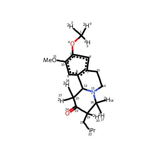 [2H]C([2H])([2H])Oc1cc2c(cc1OC)C1N(CC2)C([2H])([2H])C([2H])(CC(C)C)C(=O)C1([2H])[2H]